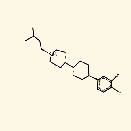 CC(C)CC[Si@H]1CC[C@H]([C@H]2CC[C@H](c3ccc(F)c(F)c3)CC2)CC1